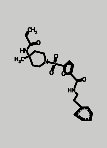 C=CC(=O)NC1(C)CCN(S(=O)(=O)c2ccc(C(=O)NCCc3ccccc3)o2)CC1